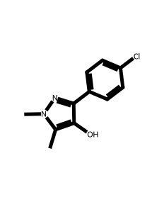 Cc1c(O)c(-c2ccc(Cl)cc2)nn1C